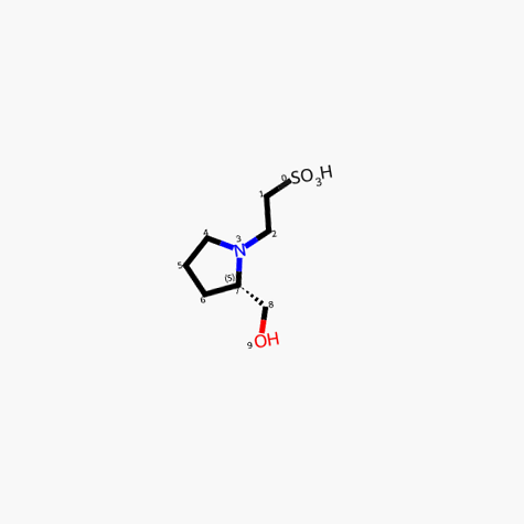 O=S(=O)(O)CCN1CCC[C@H]1CO